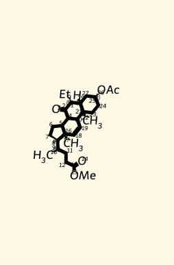 CC[C@H]1C(=O)C2C3CC[C@H]([C@H](C)CCC(=O)OC)[C@@]3(C)C=CC2[C@@]2(C)CC[C@@H](OC(C)=O)C[C@@H]12